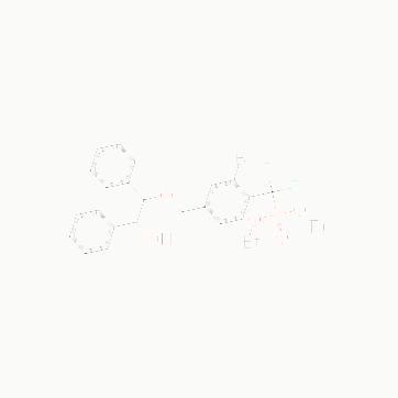 CCOP(=O)(OCC)C(F)(F)c1ccc(COC(c2ccccc2)C(O)c2ccccc2)cc1Br